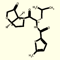 Cc1ccc(C(=O)N[C@@H](CC(C)C)C(=O)N2CC[C@H]3OCC(=O)[C@H]32)s1